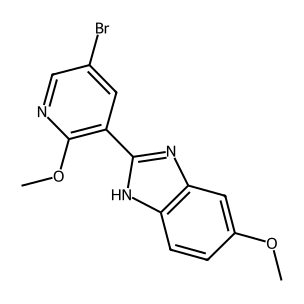 COc1ccc2[nH]c(-c3cc(Br)cnc3OC)nc2c1